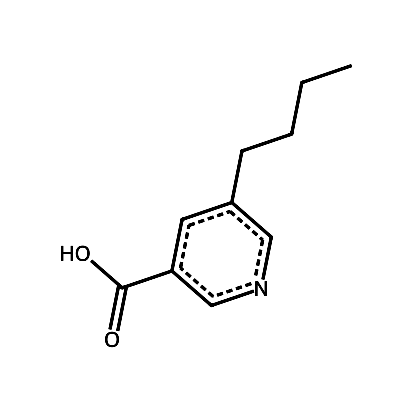 CCCCc1cncc(C(=O)O)c1